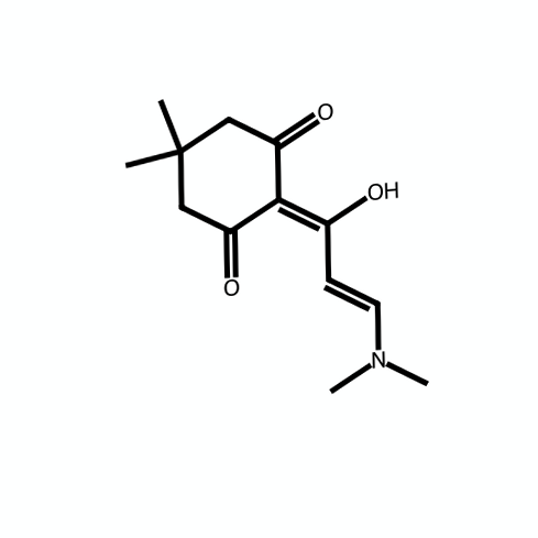 CN(C)C=CC(O)=C1C(=O)CC(C)(C)CC1=O